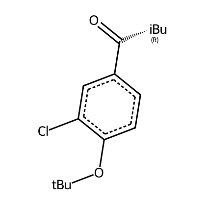 CC[C@@H](C)C(=O)c1ccc(OC(C)(C)C)c(Cl)c1